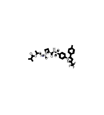 Cc1ccc(-c2cc(C(F)(F)F)nn2-c2ccc(S(=O)(=O)NC(=O)[C@@H]3CCN3/[N+]([O-])=N\OC(C)OC(=O)C(C)C)cc2)cc1